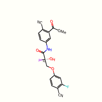 COC(=O)c1cc(NC(=O)[C@](O)(I)COc2ccc(C#N)c(F)c2)ccc1C#N